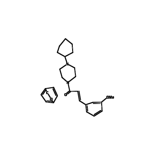 COc1cccc(C=CC(=O)N2CCN(C3CCCCC3)CC2)c1.c1cc2ccc1CO2